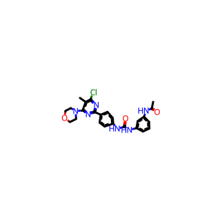 CC(=O)Nc1cccc(NC(=O)Nc2ccc(-c3nc(Cl)c(C)c(N4CCOCC4)n3)cc2)c1